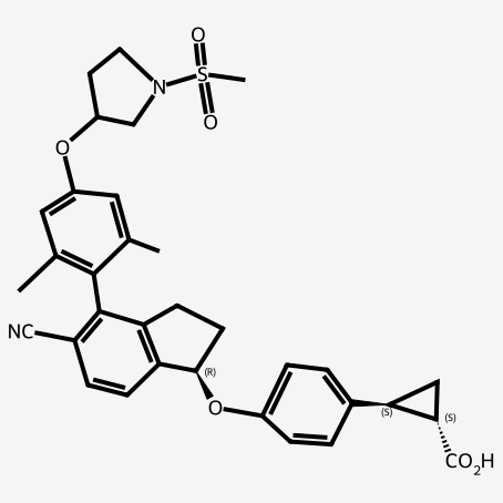 Cc1cc(OC2CCN(S(C)(=O)=O)C2)cc(C)c1-c1c(C#N)ccc2c1CC[C@H]2Oc1ccc([C@H]2C[C@@H]2C(=O)O)cc1